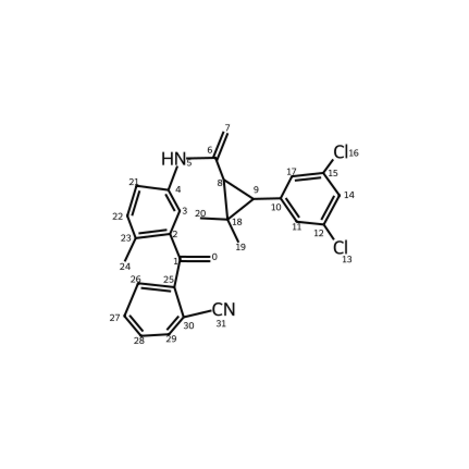 C=C(c1cc(NC(=C)C2C(c3cc(Cl)cc(Cl)c3)C2(C)C)ccc1C)c1ccccc1C#N